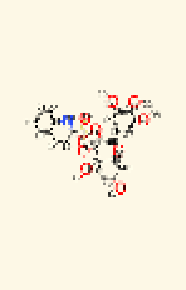 COc1cc(OC)c2c(=O)c(OS(=O)(=O)c3ccc4ccccc4n3)c(-c3cc(OC)c(OC)c(OC)c3)oc2c1